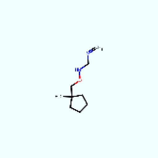 C=NCNOCC1(C)CCCC1